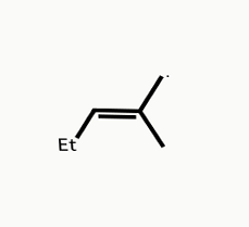 [CH2]CC=C([CH2])C